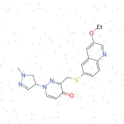 CCOc1cnc2ccc(SCc3nn(C4C=NN(C)C4)ccc3=O)cc2c1